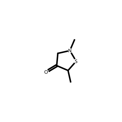 CC1SN(C)CC1=O